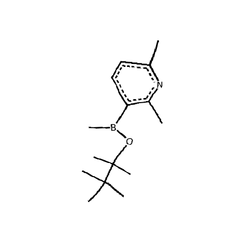 CB(OC(C)(C)C(C)(C)C)c1ccc(C)nc1C